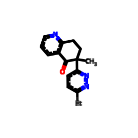 CCc1ccc(C2(C)CCc3ncccc3C2=O)nn1